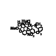 COC(=O)C1=C(C)NC(C)=C(C(=O)OC(CN(C)Cc2ccccc2)c2cccc(C(F)(F)F)c2)C1c1cccc([N+](=O)[O-])c1.Cl